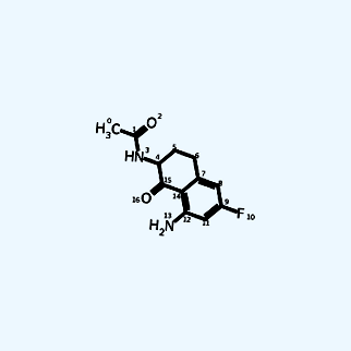 CC(=O)NC1CCc2cc(F)cc(N)c2C1=O